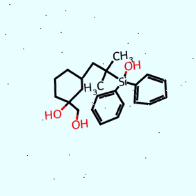 CC(C)(CC1CCCC(O)(CO)C1)[Si](O)(c1ccccc1)c1ccccc1